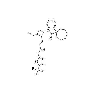 C=CC1C[C@H](OC(=O)C2(c3ccccc3)CCCCCC2)C1CCNCc1ccc(C(F)(F)F)o1